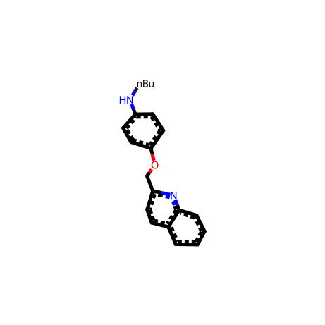 CCCCNc1ccc(OCc2ccc3ccccc3n2)cc1